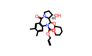 C=CCOC(=O)N1c2cc(C)c(C)cc2C(=O)N2CC[C@H](O)[C@H]2C1OC1CCCCO1